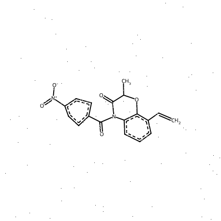 C=Cc1cccc2c1OC(C)C(=O)N2C(=O)c1ccc([N+](=O)[O-])cc1